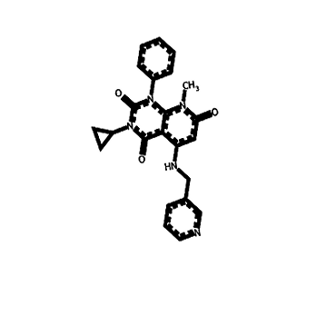 Cn1c(=O)cc(NCc2cccnc2)c2c(=O)n(C3CC3)c(=O)n(-c3ccccc3)c21